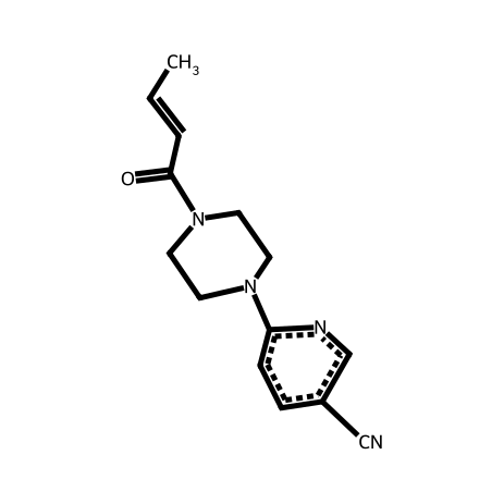 CC=CC(=O)N1CCN(c2ccc(C#N)cn2)CC1